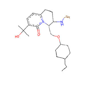 CCC1CCC(OCC2C(NS)CCc3ccc(C(C)(C)O)c(=O)n32)CC1